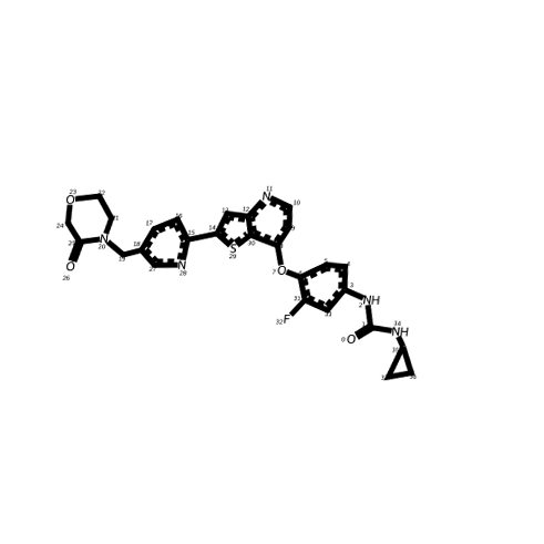 O=C(Nc1ccc(Oc2ccnc3cc(-c4ccc(CN5CCOCC5=O)cn4)sc23)c(F)c1)NC1CC1